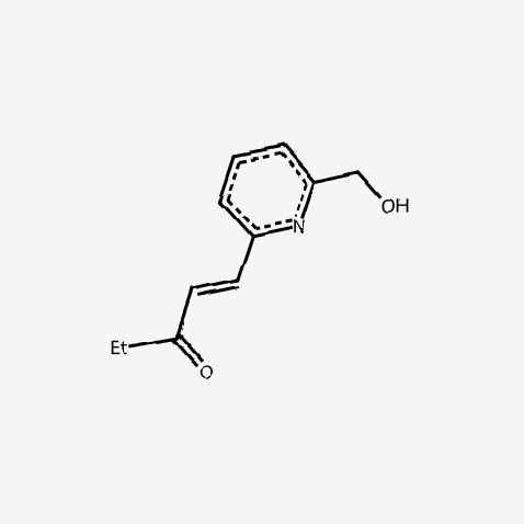 CCC(=O)C=Cc1cccc(CO)n1